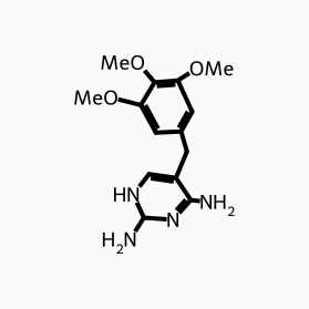 COc1cc(CC2=CNC(N)N=C2N)cc(OC)c1OC